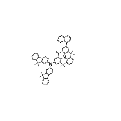 C=C1c2cc(-c3cccc4ccccc34)cc3c2N2c4c1cc(N(c1ccc5c(c1)C(C)(C)c1ccccc1-5)c1ccc5c(c1)C(C)(C)c1ccccc1-5)cc4C(C)(C)c1cccc(c12)C3(C)C